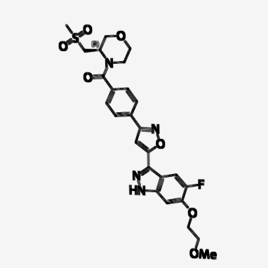 COCCOc1cc2[nH]nc(-c3cc(-c4ccc(C(=O)N5CCOC[C@@H]5CS(C)(=O)=O)cc4)no3)c2cc1F